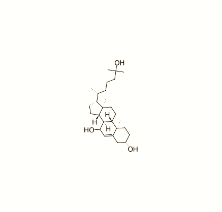 C[C@H](CCCC(C)(C)O)[C@H]1CC[C@H]2[C@@H]3C(O)C=C4C[C@@H](O)CC[C@]4(C)[C@H]3CC[C@]12C